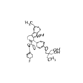 CCC(CO)(CO)COc1ccc(C2c3[nH]c4ccc(C)cc4c3CCN2C(=O)Oc2ccc(F)cc2)cc1